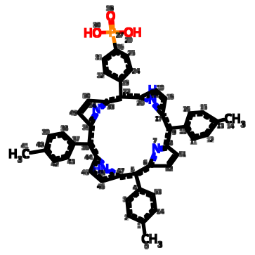 Cc1ccc(-c2c3nc(c(-c4ccc(C)cc4)c4ccc([nH]4)c(-c4ccc(P(=O)(O)O)cc4)c4nc(c(-c5ccc(C)cc5)c5ccc2[nH]5)C=C4)C=C3)cc1